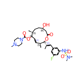 C/C(=C\c1cc(F)cc(NS(=O)(=O)N(C)C)c1)[C@H]1OC(=O)C[C@H](O)CC[C@H](C)[C@H](OC(=O)N2CCN(C)CC2)/C=C/[C@@H]1C